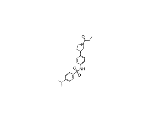 CCC(=O)N1CCC(c2ccc(NS(=O)(=O)c3ccc(C(C)C)cc3)cc2)C1